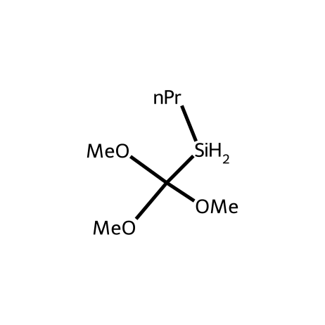 [CH2]CC[SiH2]C(OC)(OC)OC